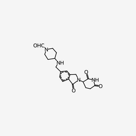 O=CN1CCC(NCc2ccc3c(c2)CN(C2CCC(=O)NC2=O)C3=O)CC1